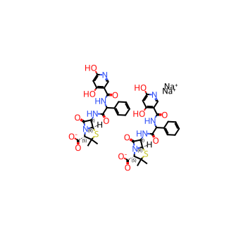 CC1(C)S[C@@H]2[C@H](NC(=O)C(NC(=O)c3cnc(O)cc3O)C3=CCC=CC3)C(=O)N2[C@H]1C(=O)[O-].CC1(C)S[C@@H]2[C@H](NC(=O)C(NC(=O)c3cnc(O)cc3O)C3=CCC=CC3)C(=O)N2[C@H]1C(=O)[O-].[Na+].[Na+]